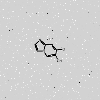 Br.Oc1cn2ccnc2cc1Cl